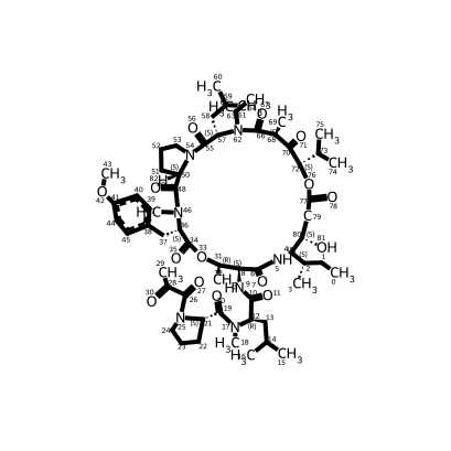 CC[C@H](C)[C@@H]1NC(=O)[C@@H](NC(=O)[C@@H](CC(C)C)N(C)C(=O)[C@@H]2CCCN2C(=O)C(C)=O)[C@@H](C)OC(=O)[C@H](Cc2ccc(OC)cc2)N(C)C(=O)[C@@H]2CCCN2C(=O)[C@H](CC(C)C)N(C(C)C)C(=O)[C@@H](C)C(=O)[C@H](C(C)C)OC(=O)C[C@@H]1O